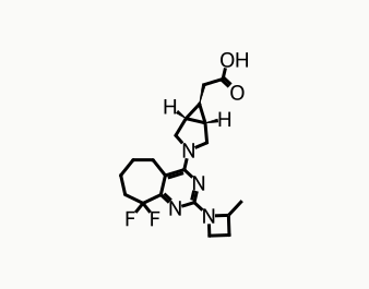 CC1CCN1c1nc(N2C[C@@H]3[C@@H](CC(=O)O)[C@@H]3C2)c2c(n1)C(F)(F)CCCC2